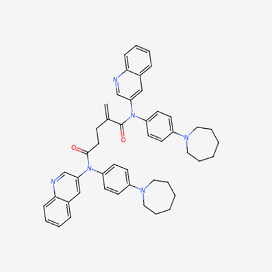 C=C(CCC(=O)N(c1ccc(N2CCCCCC2)cc1)c1cnc2ccccc2c1)C(=O)N(c1ccc(N2CCCCCC2)cc1)c1cnc2ccccc2c1